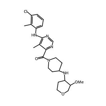 COC1COCCC1NC1CCN(C(=O)c2ncnc(Nc3cccc(Cl)c3C)c2C)CC1